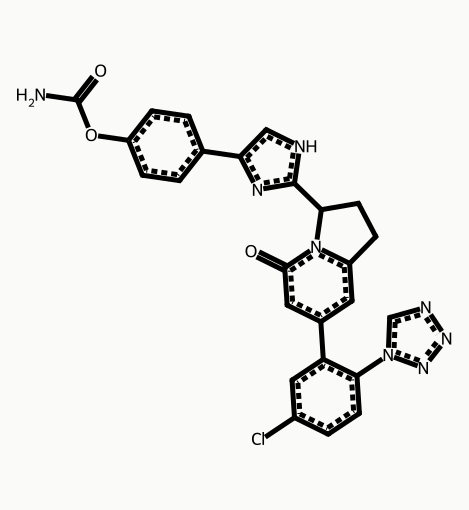 NC(=O)Oc1ccc(-c2c[nH]c(C3CCc4cc(-c5cc(Cl)ccc5-n5cnnn5)cc(=O)n43)n2)cc1